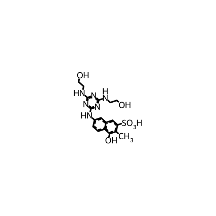 Cc1c(S(=O)(=O)O)cc2cc(Nc3nc(NCCO)nc(NCCO)n3)ccc2c1O